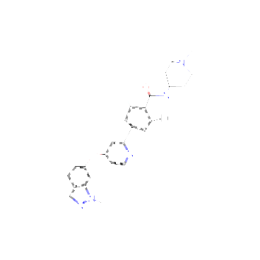 CCc1cc(-c2cc(Oc3ccc4cnn(C)c4c3)ccn2)cc(F)c1C(=O)NC1CCN(C)CC1